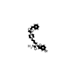 NC(=O)N(CCCCN1CCN(C2=COC(Cc3ccccc3)O2)CC1)c1cc2cc(Br)ccc2o1